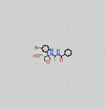 O=C(NC(=S)N[C@]1(c2cc(Br)ccc2F)COC[C@@H]1CO)c1ccccc1